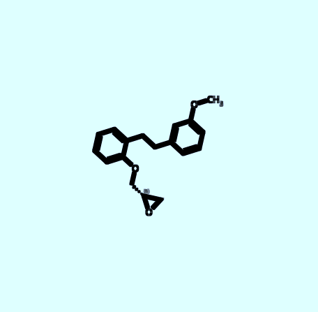 COc1cccc(CCc2ccccc2OC[C@@H]2CO2)c1